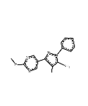 COc1ncc(-c2nn(-c3ccccc3)c(N)c2C)cn1